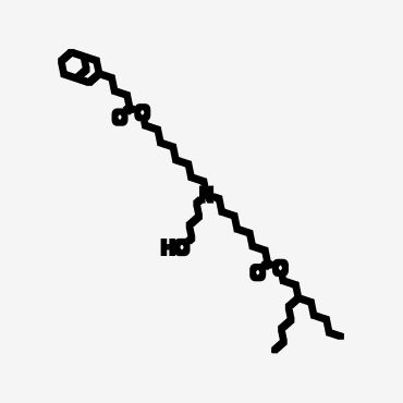 CCCCCC(CCCCC)CCOC(=O)CCCCCCCN(CCCCO)CCCCCCCCOC(=O)CCCC1CC2CCCC(C1)C2